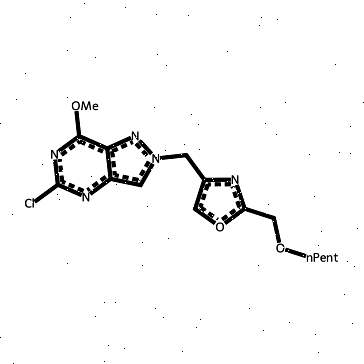 CCCCCOCc1nc(Cn2cc3nc(Cl)nc(OC)c3n2)co1